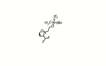 CC(C)(C)[Si](C)(C)OCCN1OC=CC1C(F)F